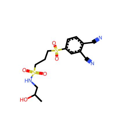 CC(O)CNS(=O)(=O)CCCS(=O)(=O)c1ccc(C#N)c(C#N)c1